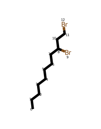 CCCCCCCCC(Br)CCBr